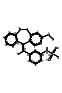 COc1ccc2c(c1)CSc1ccccc1C2=C(C)c1cccc(NS(C)(=O)=O)c1